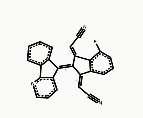 N#C/C=C1C(=C2\c3ccccc3-c3ncccc32)/C(=C/C#N)c2cccc(F)c2/1